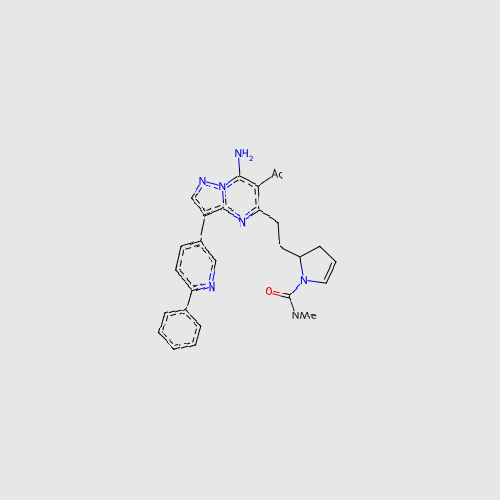 CNC(=O)N1C=CCC1CCc1nc2c(-c3ccc(-c4ccccc4)nc3)cnn2c(N)c1C(C)=O